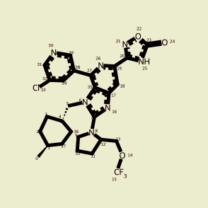 C[C@H]1CC[C@H](Cn2c(N3CCCC3COC(F)(F)F)nc3cc(-c4noc(=O)[nH]4)nc(-c4cncc(Cl)c4)c32)CC1